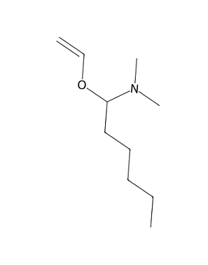 C=COC(CCCCC)N(C)C